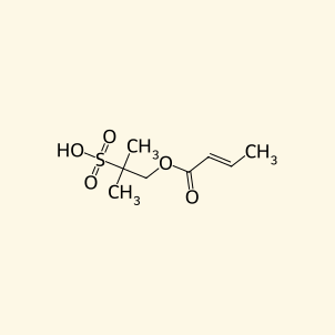 CC=CC(=O)OCC(C)(C)S(=O)(=O)O